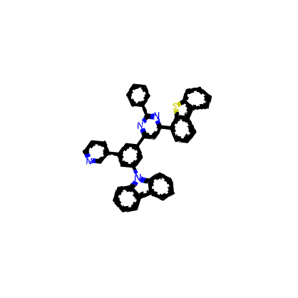 c1ccc(-c2nc(-c3cc(-c4cccnc4)cc(-n4c5ccccc5c5ccccc54)c3)cc(-c3cccc4c3sc3ccccc34)n2)cc1